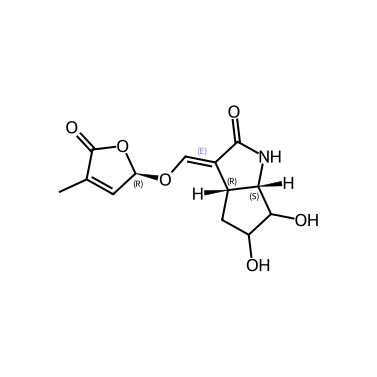 CC1=C[C@H](O/C=C2/C(=O)N[C@@H]3C(O)C(O)C[C@H]23)OC1=O